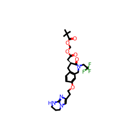 CC(C)(C)C(=O)OCOC(=O)C[C@@H]1Cc2ccc(OCCc3cn4c(n3)NCCC4)cc2CN(CC(F)(F)F)C1=O